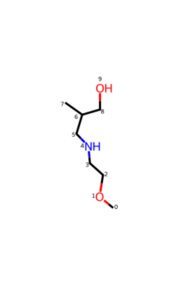 COCCNCC(C)CO